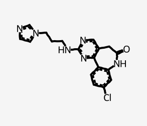 O=C1Cc2cnc(NCCCn3ccnc3)nc2-c2ccc(Cl)cc2N1